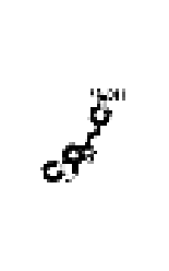 O=Cc1c(N2CCCCC2)ccc2c(CCC3CCN(C(=O)O)CC3)noc12